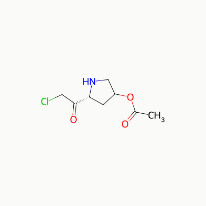 CC(=O)OC1CN[C@@H](C(=O)CCl)C1